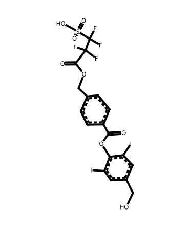 O=C(Oc1c(I)cc(CO)cc1I)c1ccc(COC(=O)C(F)(F)C(F)(F)S(=O)(=O)O)cc1